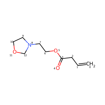 C=CCC(=O)OCCN1CCOC1